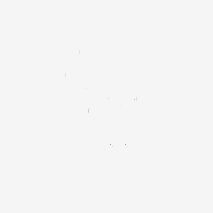 Cn1cc(C(=O)Nc2ccccc2OC(F)(F)C(F)F)c(C(F)F)n1